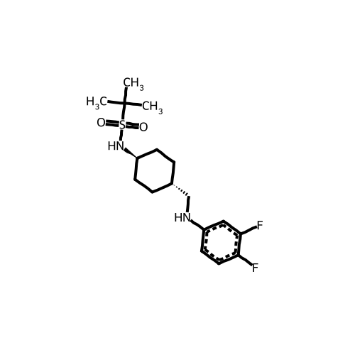 CC(C)(C)S(=O)(=O)N[C@H]1CC[C@H](CNc2ccc(F)c(F)c2)CC1